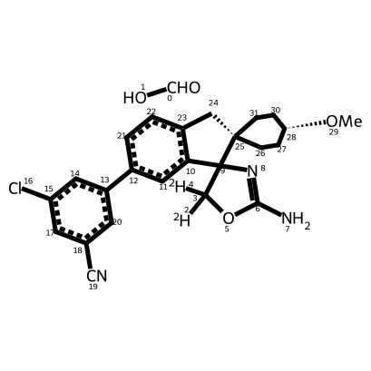 O=CO.[2H]C1([2H])OC(N)=NC12c1cc(-c3cc(Cl)cc(C#N)c3)ccc1C[C@]21CC[C@@H](OC)CC1